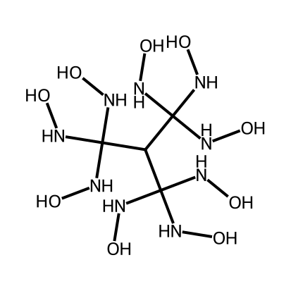 ONC(NO)(NO)C(C(NO)(NO)NO)C(NO)(NO)NO